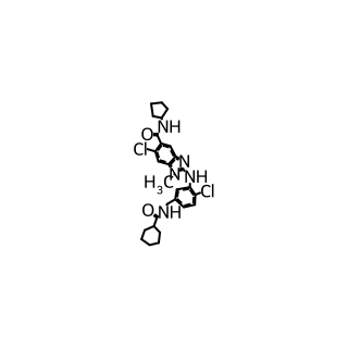 Cn1c(Nc2cc(CNC(=O)C3CCCCC3)ccc2Cl)nc2cc(C(=O)NC3CCCC3)c(Cl)cc21